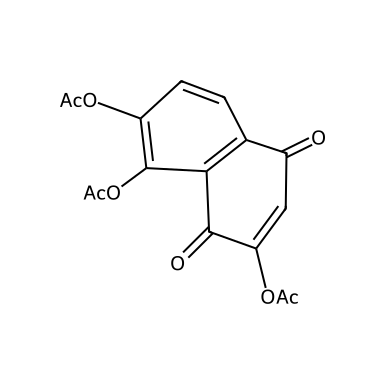 CC(=O)OC1=CC(=O)c2ccc(OC(C)=O)c(OC(C)=O)c2C1=O